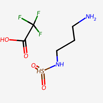 NCCCN[SH](=O)=O.O=C(O)C(F)(F)F